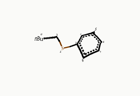 C[CH]CCCSc1ccccc1